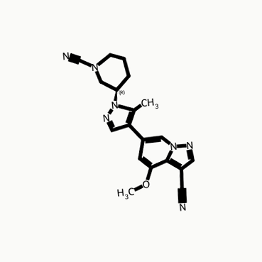 COc1cc(-c2cnn([C@@H]3CCCN(C#N)C3)c2C)cn2ncc(C#N)c12